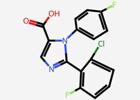 O=C(O)c1cnc(-c2c(F)cccc2Cl)n1-c1ccc(F)cc1